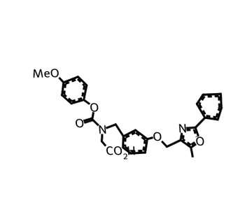 COc1ccc(OC(=O)N(CC(=O)O)Cc2cccc(OCc3nc(-c4ccccc4)oc3C)c2)cc1